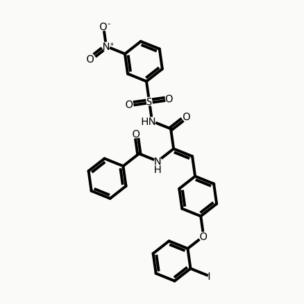 O=C(NS(=O)(=O)c1cccc([N+](=O)[O-])c1)C(=Cc1ccc(Oc2ccccc2I)cc1)NC(=O)c1ccccc1